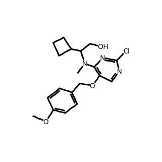 COc1ccc(COc2cnc(Cl)nc2N(C)C(CO)C2CCC2)cc1